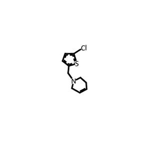 Clc1ccc(CN2CC=CCC2)s1